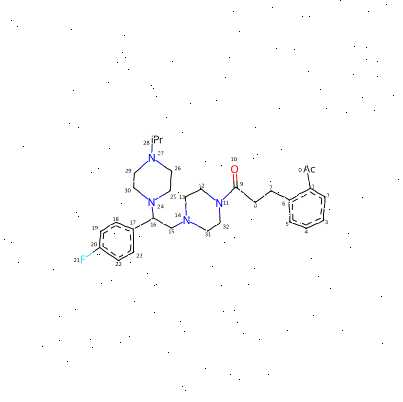 CC(=O)c1ccccc1CCC(=O)N1CCN(CC(c2ccc(F)cc2)N2CCN(C(C)C)CC2)CC1